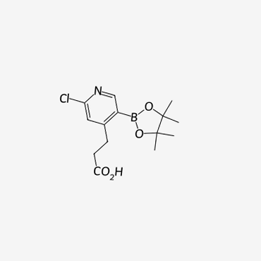 CC1(C)OB(c2cnc(Cl)cc2CCC(=O)O)OC1(C)C